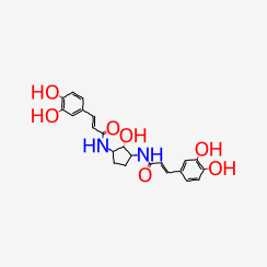 O=C(C=Cc1ccc(O)c(O)c1)N[C@H]1CC[C@@H](NC(=O)C=Cc2ccc(O)c(O)c2)[C@@H]1O